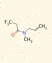 C=CCN(C)C(=O)CC(F)(F)F